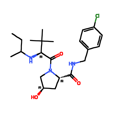 CCC(C)N[C@H](C(=O)N1C[C@H](O)C[C@H]1C(=O)NCc1ccc(Cl)cc1)C(C)(C)C